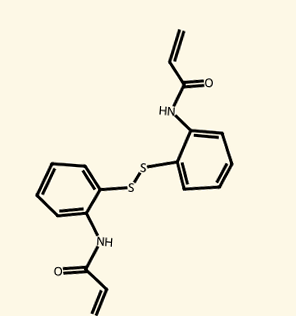 C=CC(=O)Nc1ccccc1SSc1ccccc1NC(=O)C=C